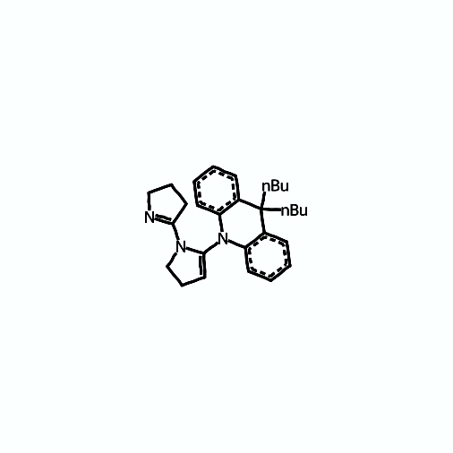 CCCCC1(CCCC)c2ccccc2N(C2=CCCN2C2=NCCC2)c2ccccc21